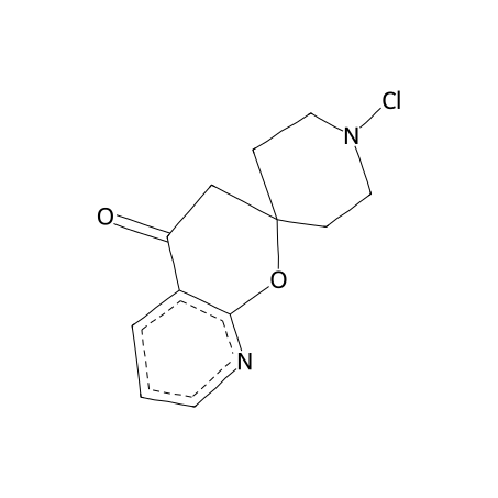 O=C1CC2(CCN(Cl)CC2)Oc2ncccc21